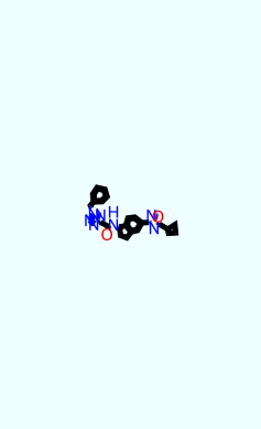 O=C(NC1CCc2cc(-c3noc(C4CCC4)n3)ccc21)c1nnn(Cc2ccccc2)n1